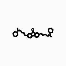 CN(CCC=Cc1ccc2c(c1)C(=O)c1cc(C=CCCN(C)C3CCCCC3)ccc1-2)C1CCCCC1